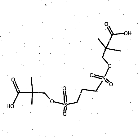 CC(C)(COS(=O)(=O)CCCS(=O)(=O)OCC(C)(C)C(=O)O)C(=O)O